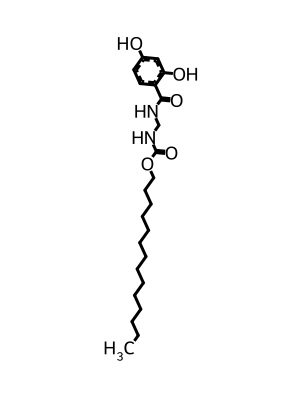 CCCCCCCCCCCCCCOC(=O)NCNC(=O)c1ccc(O)cc1O